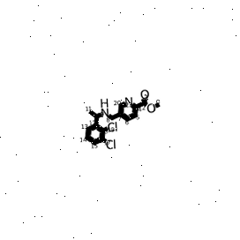 COC(=O)c1ccc(CNC(C)c2cccc(Cl)c2Cl)cn1